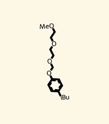 CCC(C)c1ccc(OCOCCOCCOC)cc1